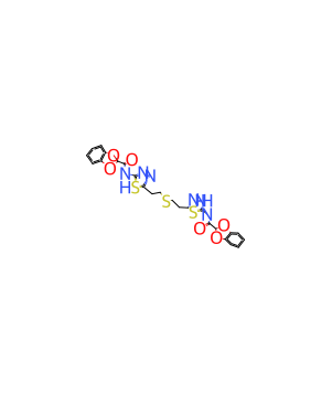 O=C(Nc1nnc(CCSCCc2nnc(NC(=O)C3Oc4ccccc4O3)s2)s1)C1Oc2ccccc2O1